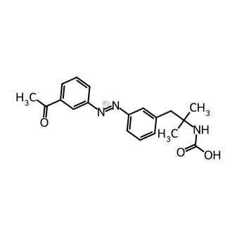 CC(=O)c1cccc(/N=N/c2cccc(CC(C)(C)NC(=O)O)c2)c1